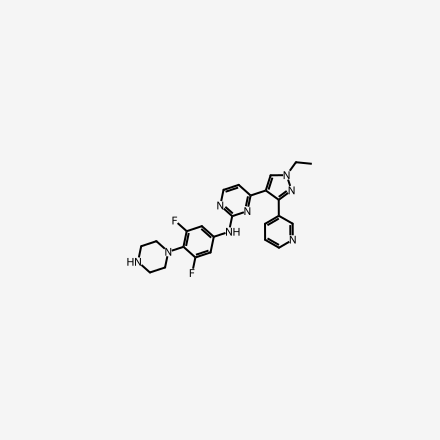 CCn1cc(-c2ccnc(Nc3cc(F)c(N4CCNCC4)c(F)c3)n2)c(-c2cccnc2)n1